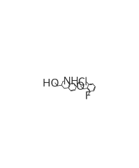 OCC1CNc2cc(OCc3c(F)cccc3Cl)ccc2C1